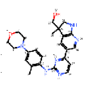 Cc1cc(N2CCOCC2)ccc1Nc1nccc(-c2cnc3c(c2)C(C)(CO)CN3)n1